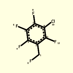 FCc1c(F)c(F)c(F)c(Cl)c1F